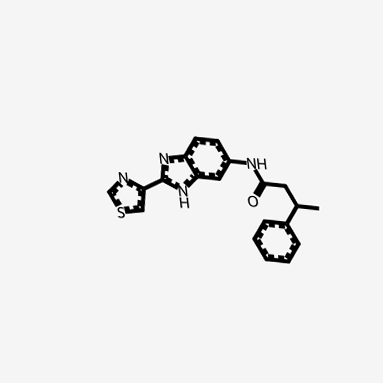 CC(CC(=O)Nc1ccc2nc(-c3cscn3)[nH]c2c1)c1ccccc1